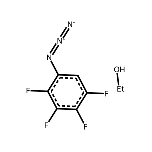 CCO.[N-]=[N+]=Nc1cc(F)c(F)c(F)c1F